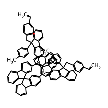 C=Cc1ccc(CC2(c3ccc(C)cc3)C3=C(C=CCC3)c3ccc(N(c4ccc5c(c4)C4(c6ccccc6-c6ccc(N(c7ccc8c(c7)C(Cc7ccc(C=C)cc7)(c7ccc(C)cc7)c7ccccc7-8)c7cccc8ccccc78)cc64)C4C=CC=CC54)c4cccc5ccccc45)cc32)cc1